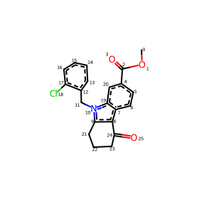 COC(=O)c1ccc2c3c(n(Cc4ccccc4Cl)c2c1)CCCC3=O